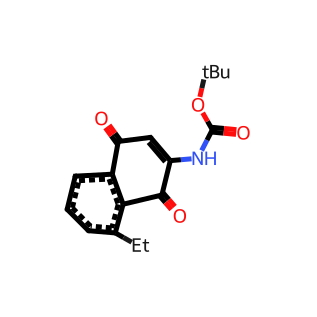 CCc1cccc2c1C(=O)C(NC(=O)OC(C)(C)C)=CC2=O